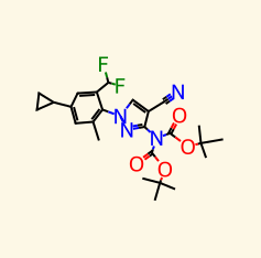 Cc1cc(C2CC2)cc(C(F)F)c1-n1cc(C#N)c(N(C(=O)OC(C)(C)C)C(=O)OC(C)(C)C)n1